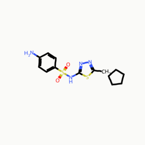 C1CCCC1.Cc1nnc(NS(=O)(=O)c2ccc(N)cc2)s1